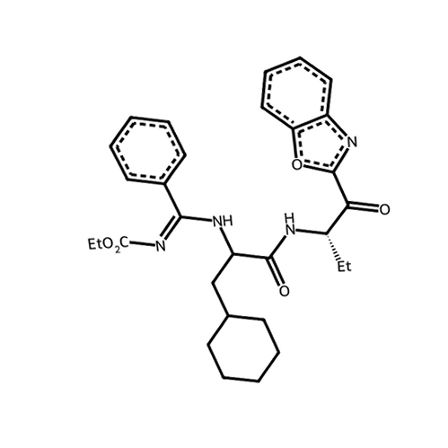 CCOC(=O)N=C(NC(CC1CCCCC1)C(=O)N[C@@H](CC)C(=O)c1nc2ccccc2o1)c1ccccc1